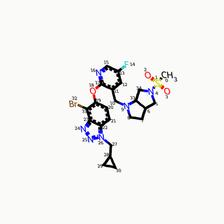 CS(=O)(=O)N1CC2CCN(Cc3cc(F)cnc3Oc3ccc4c(nnn4CC4CC4)c3Br)C2C1